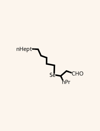 CCCCCCCCCCCC[Se]C(CC=O)CCC